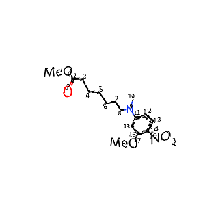 COC(=O)CCCCCCN(C)c1ccc([N+](=O)[O-])c(OC)c1